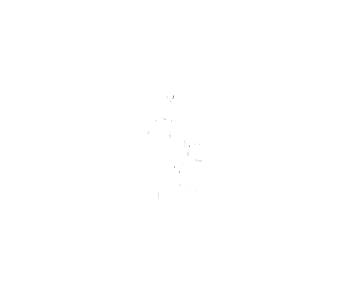 COc1cc(-n2cc(C)sc2=NC(=O)C(C)(C)C)ccc1Cl